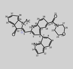 CC(=O)N1/C(=C\c2cc(-c3cccc4cccnc34)c3cc(C(=O)N4CCOCC4)ccc3n2)C(=O)c2ccccc21